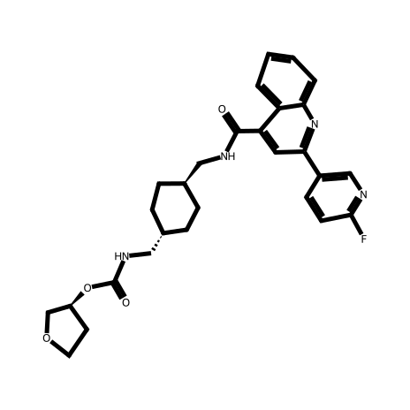 O=C(NC[C@H]1CC[C@H](CNC(=O)c2cc(-c3ccc(F)nc3)nc3ccccc23)CC1)O[C@H]1CCOC1